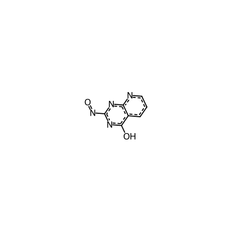 O=Nc1nc(O)c2cccnc2n1